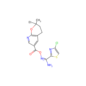 CCC1(C)CCc2cc(C(=O)O/N=C(/N)c3nc(Cl)cs3)cnc2O1